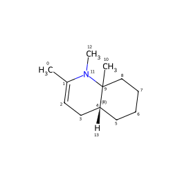 CC1=CC[C@H]2CCCCC2(C)N1C